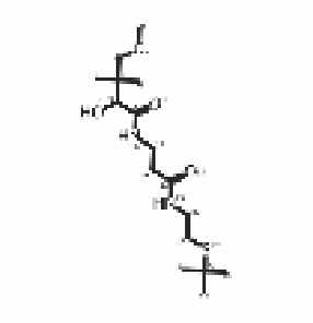 COCC(C)(C)C(O)C(=O)NCCC(=O)NCCSC(C)(C)C